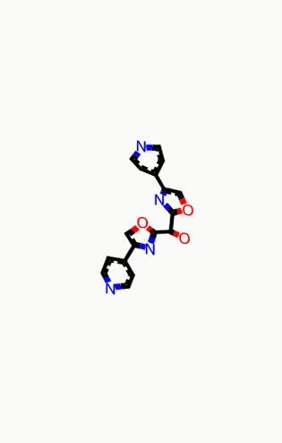 O=C(c1nc(-c2ccncc2)co1)c1nc(-c2ccncc2)co1